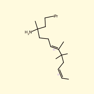 C/C=C\CC(C)(C)/C(C)=C/CCC(C)(N)CCC(C)C